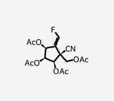 CC(=O)OC[C@@]1(C#N)/C(=C/F)[C@H](OC(C)=O)[C@H](OC(C)=O)[C@@H]1OC(C)=O